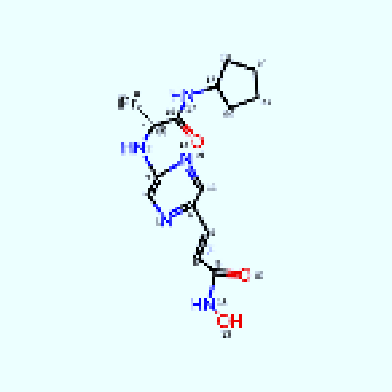 CC(C)[C@@H](Nc1cnc(/C=C/C(=O)NO)cn1)C(=O)NC1CCCC1